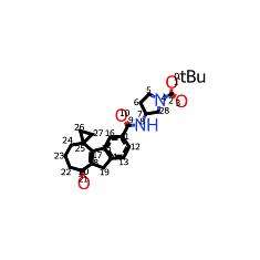 CC(C)(C)OC(=O)N1CCC(NC(=O)c2ccc3c(c2)C2=C(C3)C(=O)CCCC23CC3)C1